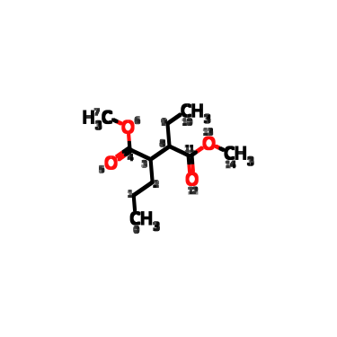 CCCC(C(=O)OC)C(CC)C(=O)OC